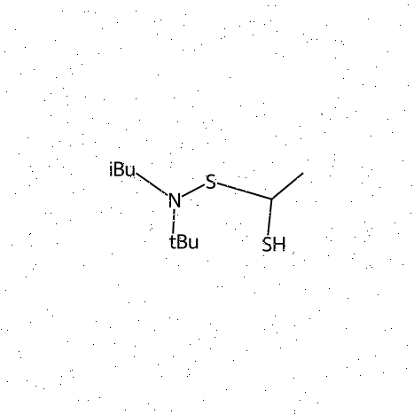 CCC(C)N(SC(C)S)C(C)(C)C